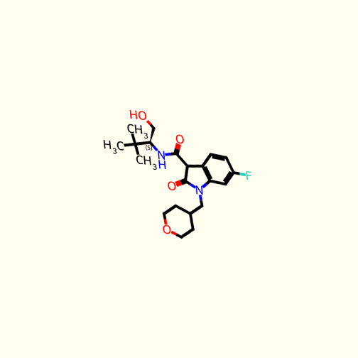 CC(C)(C)[C@@H](CO)NC(=O)C1C(=O)N(CC2CCOCC2)c2cc(F)ccc21